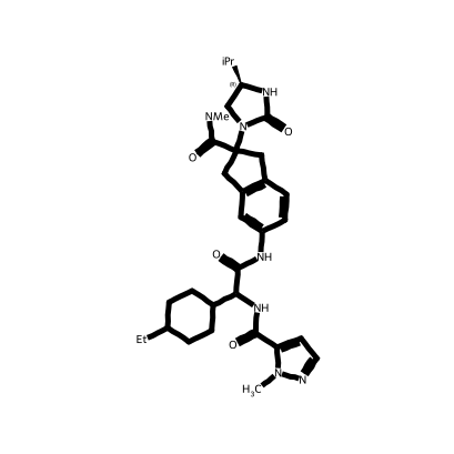 CCC1CCC(C(NC(=O)c2ccnn2C)C(=O)Nc2ccc3c(c2)CC(C(=O)NC)(N2C[C@@H](C(C)C)NC2=O)C3)CC1